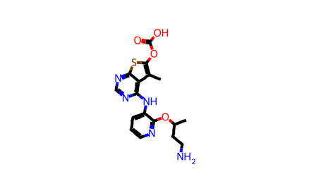 Cc1c(OC(=O)O)sc2ncnc(Nc3cccnc3OC(C)CCN)c12